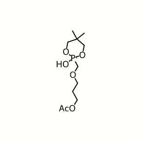 CC(=O)OCCCOC[P]1(O)OCC(C)(C)CO1